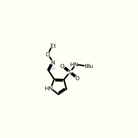 CCO/N=C/c1[nH]ccc1S(=O)(=O)NC(C)(C)C